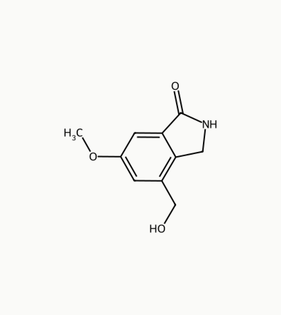 COc1cc(CO)c2c(c1)C(=O)NC2